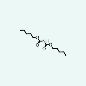 CCCCCOC(=O)NC(=O)OCCCCC